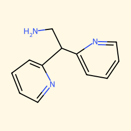 NCC(c1ccccn1)c1ccccn1